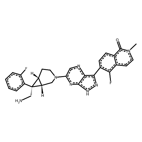 Cn1ccc2c(F)c(-c3n[nH]c4nc(N5CC[C@@H]6[C@H](C5)[C@@]6(CN)c5ccccc5F)cnc34)ccc2c1=O